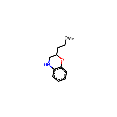 COCCC1CNc2ccccc2O1